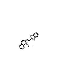 CC[n+]1c(C=Cc2nc3ccccc3o2)ccc2ccccc21.[I-]